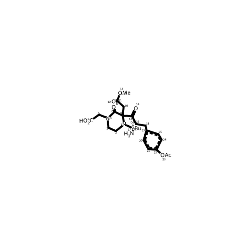 CCCCN1CCN(CC(=O)O)C(=O)C1(CC(=O)OC)C(=O)[C@@H](N)Cc1ccc(OC(C)=O)cc1